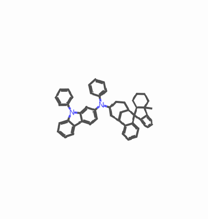 CC12CCCCC1C1(c3ccccc3C3CC(N(c4ccccc4)c4ccc5c6ccccc6n(-c6ccccc6)c5c4)CCC1C3)c1ccccc12